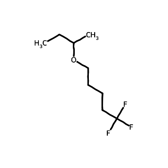 CCC(C)OCCCCC(F)(F)F